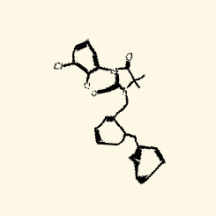 CC1(C)C(=O)N(c2cccc(Cl)c2Cl)C(=O)N1CC1=CC=CCC1Cc1ccccc1